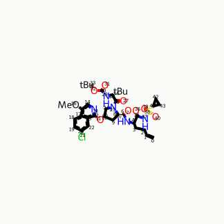 C=CCCC(NC(=O)[C@@H]1C[C@@H](Oc2ncc(OC)c3ccc(Cl)cc23)CN1C(=O)[C@@H](NC(=O)OC(C)(C)C)C(C)(C)C)C(=O)NS(=O)(=O)C1CC1